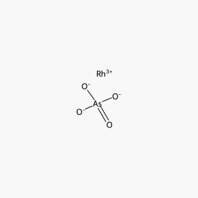 O=[As]([O-])([O-])[O-].[Rh+3]